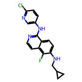 Fc1c(NCC2CC2)ccc2c(Nc3ccc(Cl)nc3)nccc12